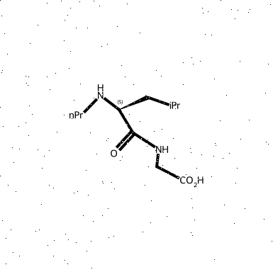 CCCN[C@@H](CC(C)C)C(=O)NCC(=O)O